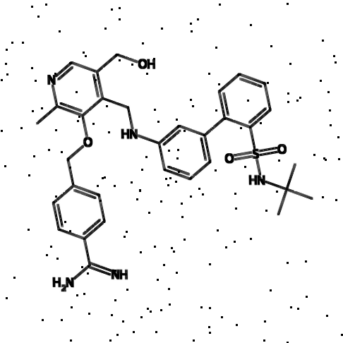 Cc1ncc(CO)c(CNc2cccc(-c3ccccc3S(=O)(=O)NC(C)(C)C)c2)c1OCc1ccc(C(=N)N)cc1